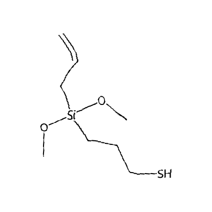 C=CC[Si](CCCS)(OC)OC